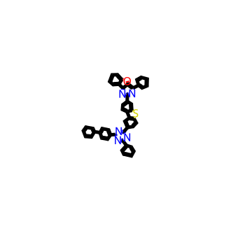 c1ccc(-c2ccc(-c3nc(-c4ccccc4)nc(-c4ccc5sc6cc(-c7nc(-c8ccccc8)c8oc9ccccc9c8n7)ccc6c5c4)n3)cc2)cc1